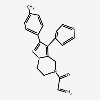 C=CC(=O)N1CCn2nc(-c3ccc(C)cc3)c(-c3ccncc3)c2C1